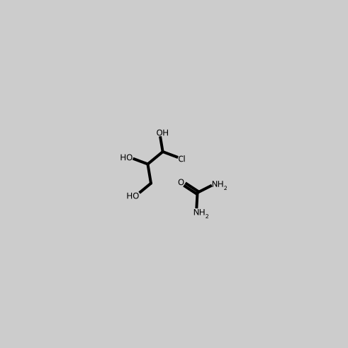 NC(N)=O.OCC(O)C(O)Cl